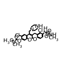 CNS(=O)(=O)Nc1cccc(Cc2c(CN3CCNCC3)c3cc(Cl)c(OC(=O)N(C)C)cc3oc2=O)c1Cl